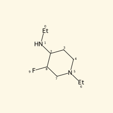 CCNC1CCN(CC)CC1F